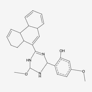 COc1ccc(C2N=C(C3=CC4C=CC=CC4C4C=CCCC34)NC(OC)N2)c(O)c1